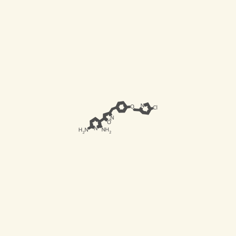 Nc1ccc(-c2cc(Cc3ccc(OCc4ccc(Cl)cn4)cc3)no2)c(N)n1